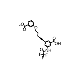 COC(=O)c1cccc(OCCCC#Cc2cc(NC(=O)C(F)(F)F)cc(C(=O)O)c2)c1